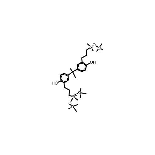 CC(C)(c1ccc(O)c(CCC[Si](C)(C)O[Si](C)(C)C)c1)c1ccc(O)c(CCC[Si](C)(O[Si](C)(C)C)O[Si](C)(C)C)c1